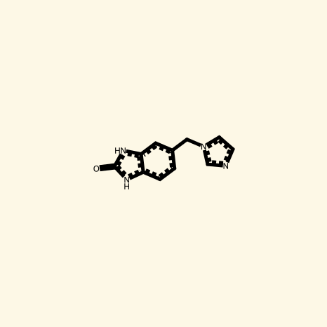 O=c1[nH]c2ccc(Cn3ccnc3)cc2[nH]1